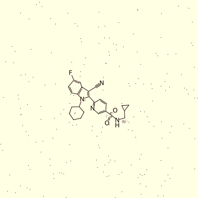 C[C@H](NS(=O)(=O)c1ccc(-c2c(C#N)c3cc(F)ccc3n2C2CCCCC2)nc1)C1CC1